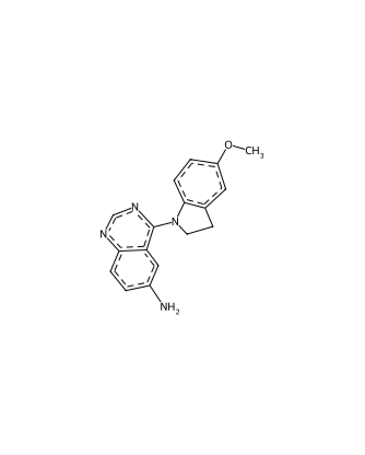 COc1ccc2c(c1)CCN2c1ncnc2ccc(N)cc12